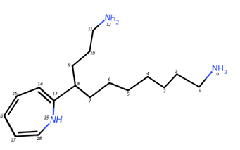 NCCCCCCCC(CCCN)C1=CC=CC=CN1